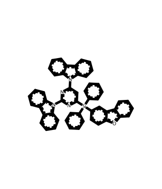 c1ccc([Si](c2ccccc2)(c2ccc3oc4ccccc4c3c2)c2cc(-n3c4ccccc4c4ccccc43)nc(-n3c4ccccc4c4ccccc43)n2)cc1